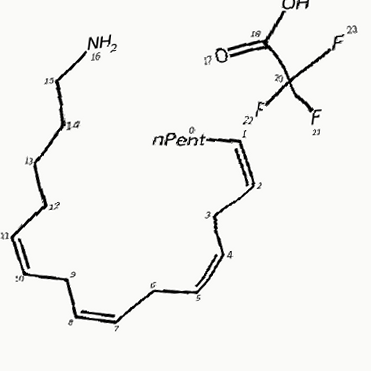 CCCCC/C=C\C/C=C\C/C=C\C/C=C\CCCCN.O=C(O)C(F)(F)F